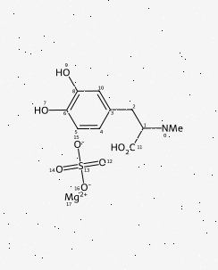 CNC(Cc1ccc(O)c(O)c1)C(=O)O.O=S(=O)([O-])[O-].[Mg+2]